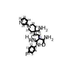 CN(/C=C(\C(=N)Nc1ccc(F)cc1)C(N)=O)C1(CN)CCN(c2cccnc2)CC1